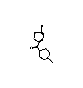 CN1CCC(C(=O)C2=CC=C(F)CC2)CC1